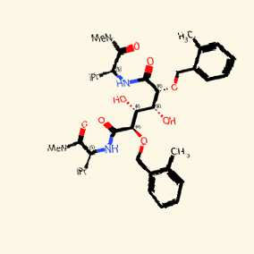 CNC(=O)[C@@H](NC(=O)[C@H](OCc1ccccc1C)[C@H](O)[C@@H](O)[C@@H](OCc1ccccc1C)C(=O)N[C@H](C(=O)NC)C(C)C)C(C)C